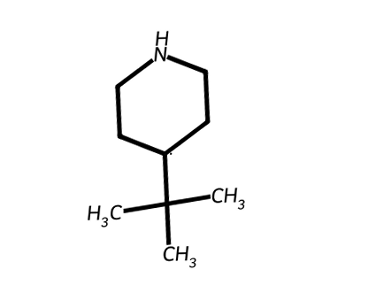 CC(C)(C)[C]1CCNCC1